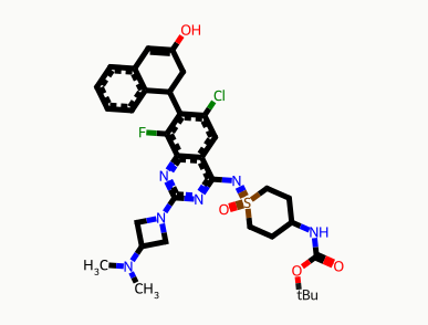 CN(C)C1CN(c2nc(N=S3(=O)CCC(NC(=O)OC(C)(C)C)CC3)c3cc(Cl)c(C4CC(O)=Cc5ccccc54)c(F)c3n2)C1